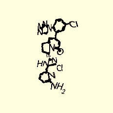 Nc1cccc(-c2[nH]c([C@@H]3CCc4cc(-c5cc(Cl)ccc5-n5cnnn5)cc(=O)n43)nc2Cl)n1